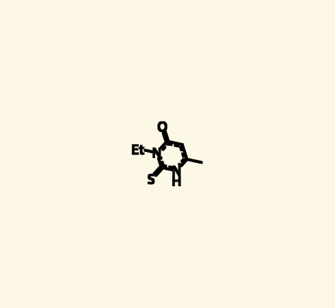 CCn1c(=O)cc(C)[nH]c1=S